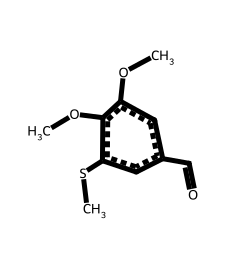 COc1cc(C=O)cc(SC)c1OC